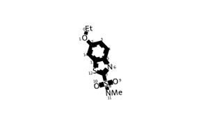 CCOc1ccc2nc(S(=O)(=O)NC)sc2c1